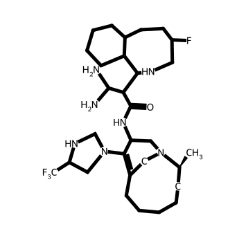 C[C@H]1CCCCCC2=C(N3CNC(C(F)(F)F)C3)C(NC(=O)C(C(N)N)C3NCC(F)CCC4CCCCC43)CN1C2